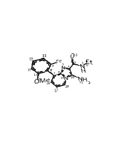 CCNC(=O)c1nc2c(-c3c(F)cccc3OC)cccn2c1N